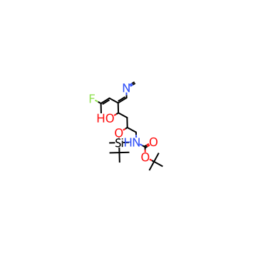 C=N/C=C(\C=C(/C)F)C(O)CC(CNC(=O)OC(C)(C)C)O[Si](C)(C)C(C)(C)C